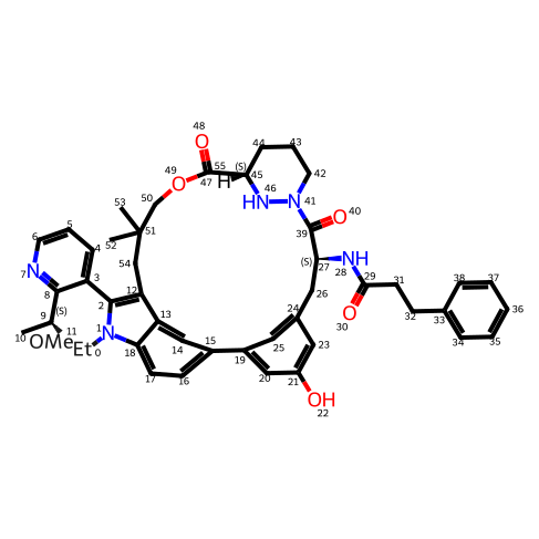 CCn1c(-c2cccnc2[C@H](C)OC)c2c3cc(ccc31)-c1cc(O)cc(c1)C[C@H](NC(=O)CCc1ccccc1)C(=O)N1CCC[C@H](N1)C(=O)OCC(C)(C)C2